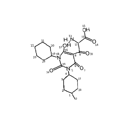 CC1CCC(n2c(=O)c(C(=O)C(N)C(=O)O)c(O)n(C3CCCCC3)c2=O)CC1